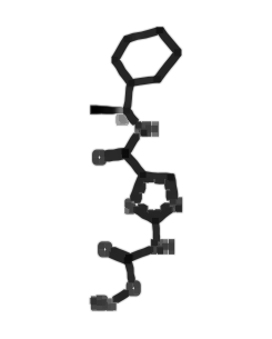 C[C@H](NC(=O)c1cnc(NC(=O)OC(C)(C)C)s1)C1CCCCC1